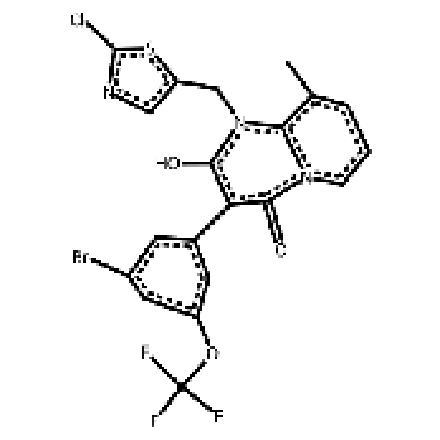 Cc1ccc[n+]2c(=O)c(-c3cc(Br)cc(OC(F)(F)F)c3)c(O)n(Cc3cnc(Cl)s3)c12